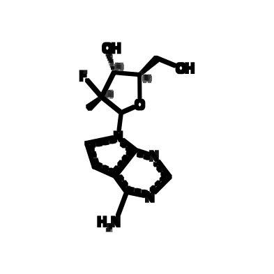 C[C@]1(F)C(n2ccc3c(N)ncnc32)O[C@H](CO)[C@H]1O